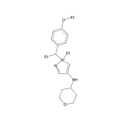 CCOc1ccc(C(CC)[N+]2(CC)C=C(NC3CCOCC3)C=N2)cc1